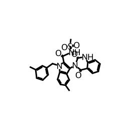 Cc1cccc(Cn2c(C(=O)NS(C)(=O)=O)c(-n3c(=O)[nH]c4ccccc4c3=O)c3cc(C)ccc32)c1